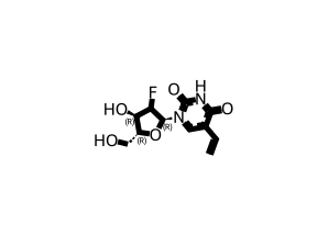 C=Cc1cn([C@@H]2O[C@H](CO)[C@@H](O)C2F)c(=O)[nH]c1=O